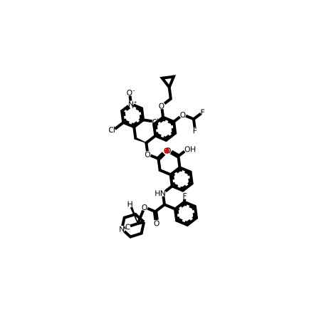 O=C(Cc1c(NC(C(=O)O[C@H]2CN3CCC2CC3)c2ccccc2F)cccc1C(=O)O)O[C@@H](Cc1c(Cl)c[n+]([O-])cc1Cl)c1ccc(OC(F)F)c(OCC2CC2)c1